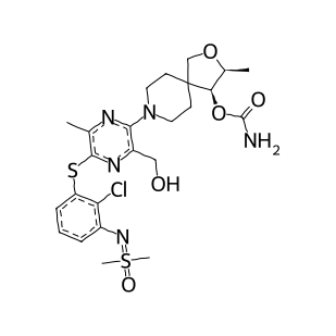 Cc1nc(N2CCC3(CC2)CO[C@@H](C)[C@H]3OC(N)=O)c(CO)nc1Sc1cccc(N=S(C)(C)=O)c1Cl